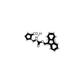 O=C(NC[C@H]1CCCC1C(=O)O)OCC1c2ccccc2-c2ccccc21